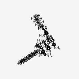 CCN(CCNS(C)(=O)=O)c1ccc(N)c(C)c1.CCN(CCNS(C)(=O)=O)c1ccc(N)c(C)c1.CCN(CCNS(C)(=O)=O)c1ccc(N)c(C)c1.CCN(CCNS(C)(=O)=O)c1ccc(N)c(C)c1.O=S(=O)(O)O.O=S(=O)(O)O.O=S(=O)(O)O.O=S(=O)(O)O.O=S(=O)(O)O.O=S(=O)(O)O.O=S(=O)(O)O.O=S(=O)(O)O.O=S(=O)(O)O